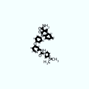 CN(C)[C@@H]1CCN(C(=O)Nc2cc(Oc3ccc(N(C(=O)C4(C(N)=O)CC4)c4ccc(F)cc4)cc3)ccn2)C1